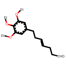 CCOc1cc(CCC=CCCC=O)cc(OCC)c1OCC